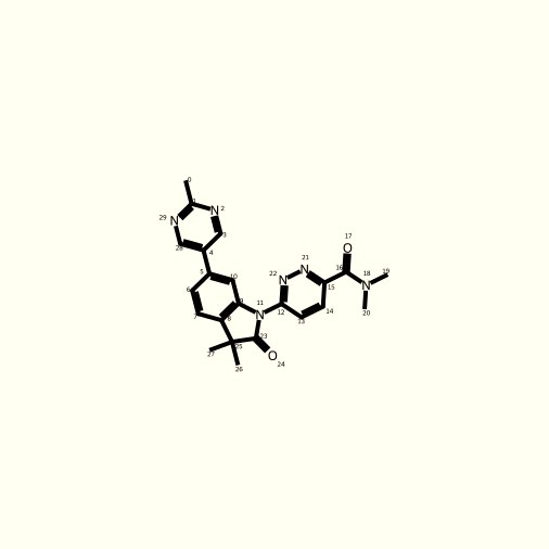 Cc1ncc(-c2ccc3c(c2)N(c2ccc(C(=O)N(C)C)nn2)C(=O)C3(C)C)cn1